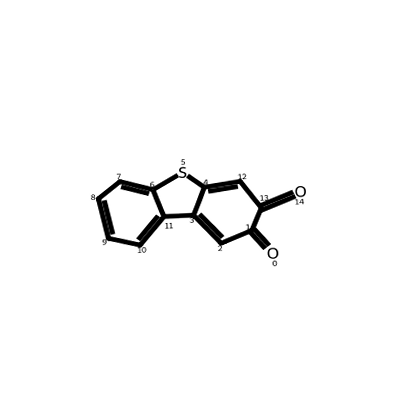 O=C1[C]=c2c(sc3ccccc23)=CC1=O